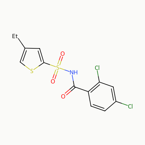 CCc1csc(S(=O)(=O)NC(=O)c2ccc(Cl)cc2Cl)c1